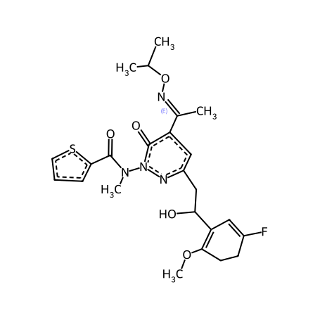 COC1=C(C(O)Cc2cc(/C(C)=N/OC(C)C)c(=O)n(N(C)C(=O)c3cccs3)n2)C=C(F)CC1